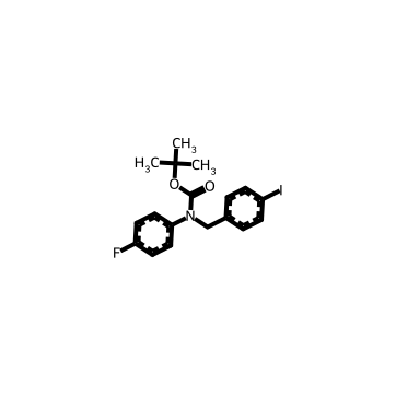 CC(C)(C)OC(=O)N(Cc1ccc(I)cc1)c1ccc(F)cc1